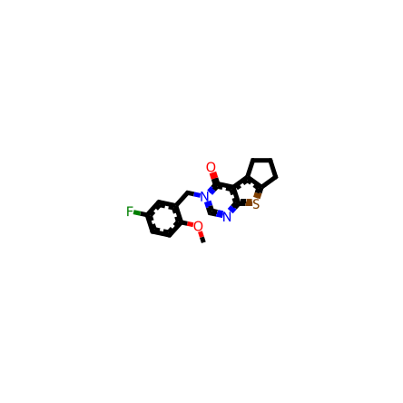 COc1ccc(F)cc1Cn1cnc2sc3c(c2c1=O)CCC3